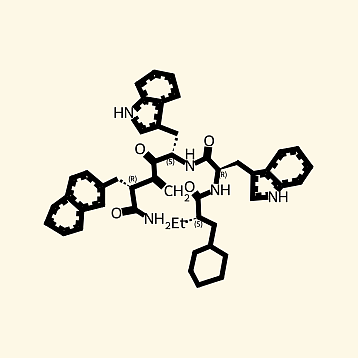 C=C(C(=O)[C@H](Cc1c[nH]c2ccccc12)NC(=O)[C@@H](Cc1c[nH]c2ccccc12)NC(=O)[C@@H](CC)CC1CCCCC1)[C@@H](Cc1ccc2ccccc2c1)C(N)=O